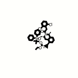 CCOC(=O)[C@H]1CC1c1cccc2c1C[C@H](CO[Si](c1ccccc1)(c1ccccc1)C(C)(C)C)N(C(=O)Cc1c(Cl)cccc1Cl)[C@H]2C